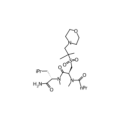 CCCC(=O)N(C)[C@H](CS(=O)(=O)C(C)(C)CN1CCOCC1)C(=O)N(C)[C@@H](CC(C)C)C(N)=O